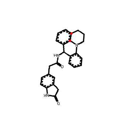 O=C1Cc2cc(CC(=O)NC(c3ccccc3)c3ccccc3N3CCCCC3)ccc2N1